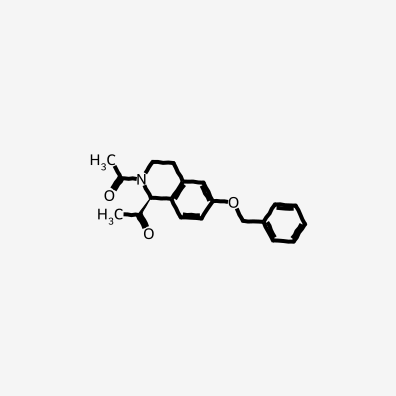 CC(=O)[C@@H]1c2ccc(OCc3ccccc3)cc2CCN1C(C)=O